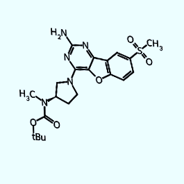 CN(C(=O)OC(C)(C)C)[C@@H]1CCN(c2nc(N)nc3c2oc2ccc(S(C)(=O)=O)cc23)C1